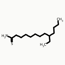 CCCCC(CC)CCCCCCCC(N)=S